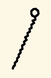 CCCCCCCCCCCCCCCCCCCCCCCCCC1CCCCCCCC1